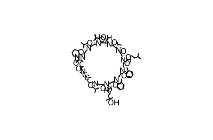 CC(C)CCOC[C@@H]1NC(=O)[C@H](Cc2ccccc2)N(C)C(=O)[C@H](Cc2ccccc2)N(C)C(=O)[C@H](COCCC(C)(C)O)NC(=O)[C@H](CC(C)C)N(C)C(=O)CCCN(C)C(=O)C[C@@H](C(=O)N2CCCCC2)NC(=O)[C@H](CC(C)C)N(C)C(=O)[C@H](CC(C)C)N(C)C(=O)[C@H]([C@@H](C)O)NC(=O)[C@H](C(C)C)N(C)C1=O